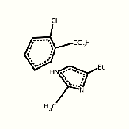 CCc1c[nH]c(C)n1.O=C(O)c1ccccc1Cl